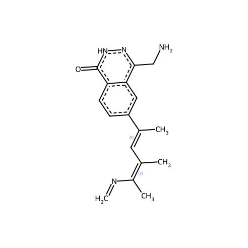 C=N/C(C)=C(C)\C=C(/C)c1ccc2c(=O)[nH]nc(CN)c2c1